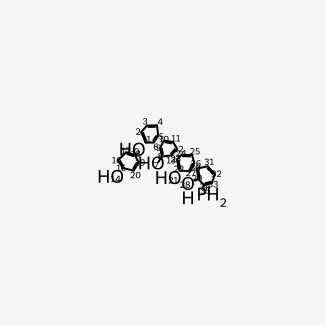 Oc1ccccc1.Oc1ccccc1.Oc1ccccc1.Oc1ccccc1.Oc1ccccc1P